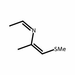 C/C=N\C(C)=C/SC